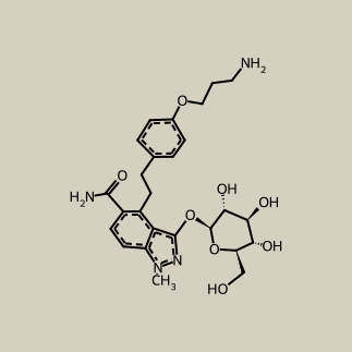 Cn1nc(O[C@@H]2O[C@H](CO)[C@@H](O)[C@H](O)[C@H]2O)c2c(CCc3ccc(OCCCN)cc3)c(C(N)=O)ccc21